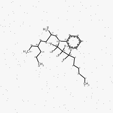 CCCCCCC(F)(F)C(F)(F)C(F)(F)P(CC(C)CCC(CC)CCC)c1ccccc1